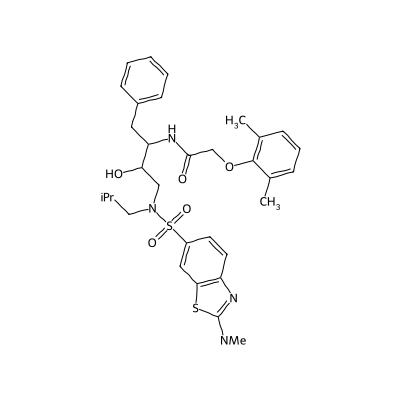 CNc1nc2ccc(S(=O)(=O)N(CC(C)C)CC(O)C(Cc3ccccc3)NC(=O)COc3c(C)cccc3C)cc2s1